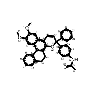 COc1cc2c3c(c4c(c2cc1OC)-c1ccccc1CC4)OC(c1ccccc1)(c1ccc(NC(C)=O)cc1)C=C3